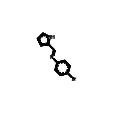 Brc1ccc(N=Cc2ccc[nH]2)cc1